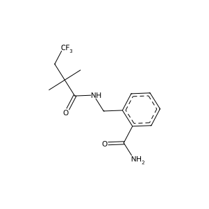 CC(C)(CC(F)(F)F)C(=O)NCc1ccccc1C(N)=O